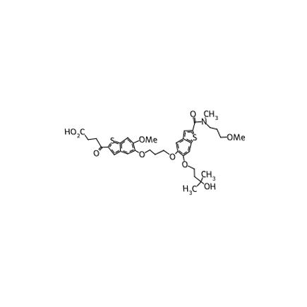 COCCCN(C)C(=O)c1cc2cc(OCCCOc3cc4cc(C(=O)CCC(=O)O)sc4cc3OC)c(OCCC(C)(C)O)cc2s1